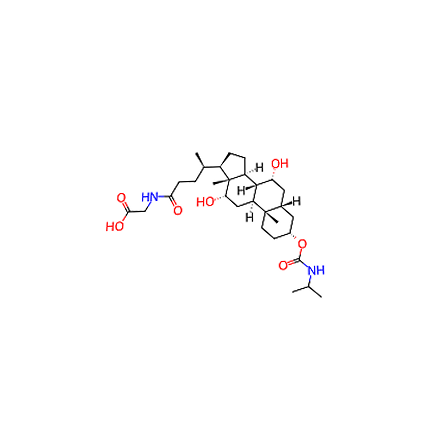 CC(C)NC(=O)O[C@@H]1CC[C@@]2(C)[C@@H](C1)C[C@@H](O)[C@@H]1[C@@H]2C[C@H](O)[C@]2(C)[C@@H]([C@H](C)CCC(=O)NCC(=O)O)CC[C@@H]12